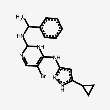 CC(NC1N=CC(Br)=C(Nc2cc(C3CC3)[nH]n2)N1)c1ccccc1